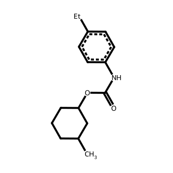 CCc1ccc(NC(=O)OC2CCCC(C)C2)cc1